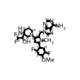 COc1cc(F)c(-c2cc(N3CCC[C@](N)(C(O)C(F)F)C3)c(Cn3cnc4c(N)ncnc43)n2C)cc1F